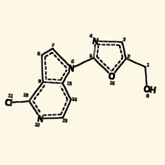 OCc1cnc(-n2ccc3c(Cl)nccc32)o1